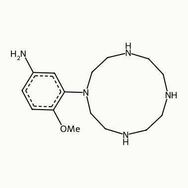 COc1ccc(N)cc1N1CCNCCNCCNCC1